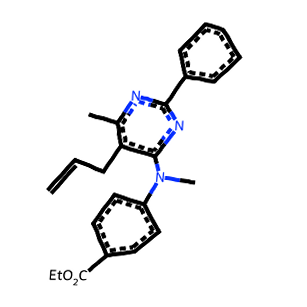 C=CCc1c(C)nc(-c2ccccc2)nc1N(C)c1ccc(C(=O)OCC)cc1